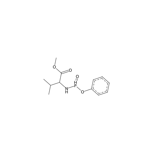 COC(=O)C(N[PH](=O)Oc1ccccc1)C(C)C